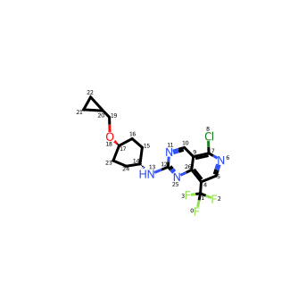 FC(F)(F)c1cnc(Cl)c2cnc(N[C@H]3CC[C@H](OCC4CC4)CC3)nc12